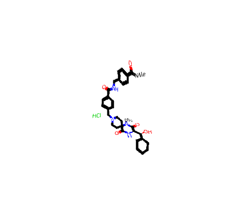 CCCCN1C(=O)[C@@H]([C@H](O)C2CCCCC2)NC(=O)C12CCN(Cc1ccc(C(=O)NCc3ccc(C(=O)NC)cc3)cc1)CC2.Cl